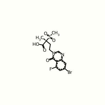 C[C@@](CCn1cnc2cc(Br)cc(F)c2c1=O)(C(=O)O)S(C)(=O)=O